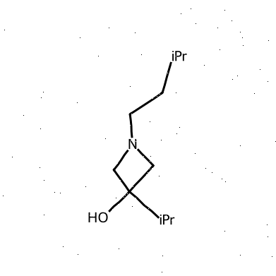 CC(C)CCN1CC(O)(C(C)C)C1